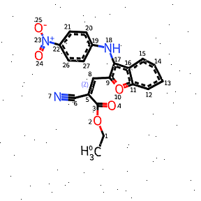 CCOC(=O)/C(C#N)=C\c1oc2ccccc2c1Nc1ccc([N+](=O)[O-])cc1